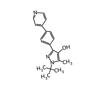 Cc1c(O)c(-c2ccc(-c3ccncc3)cc2)nn1C(C)(C)C